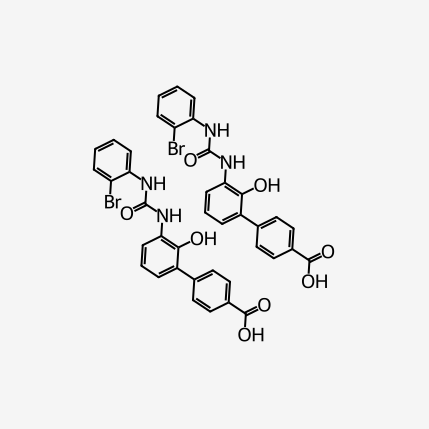 O=C(Nc1ccccc1Br)Nc1cccc(-c2ccc(C(=O)O)cc2)c1O.O=C(Nc1ccccc1Br)Nc1cccc(-c2ccc(C(=O)O)cc2)c1O